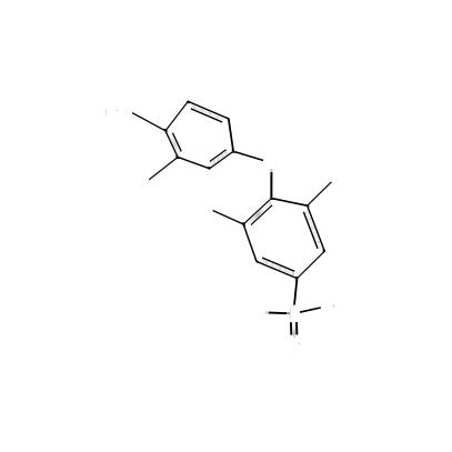 CCCc1ccc(Oc2c(C)cc(P(=O)(O)O)cc2C)cc1F